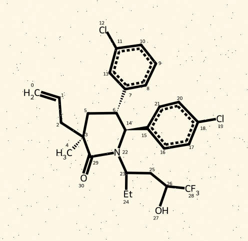 C=CC[C@@]1(C)C[C@H](c2cccc(Cl)c2)[C@@H](c2ccc(Cl)cc2)N(C(CC)CC(O)C(F)(F)F)C1=O